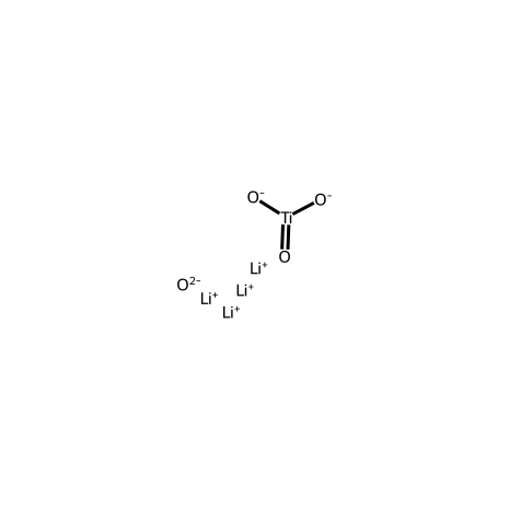 [Li+].[Li+].[Li+].[Li+].[O-2].[O]=[Ti]([O-])[O-]